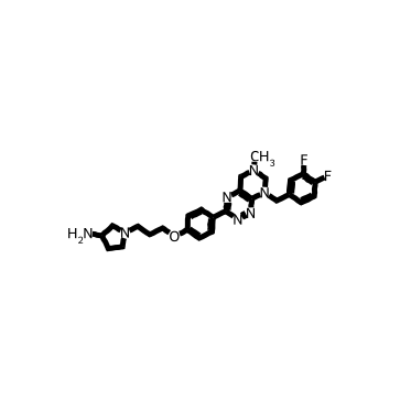 CN1Cc2nc(-c3ccc(OCCCN4CCC(N)C4)cc3)nnc2N(Cc2ccc(F)c(F)c2)C1